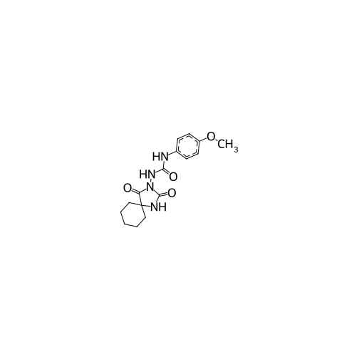 COc1ccc(NC(=O)NN2C(=O)NC3(CCCCC3)C2=O)cc1